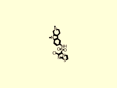 CN1CCc2c(n(C)c3ccc(NS(=O)(=O)c4c(Cl)nc5sccn45)cc23)C1